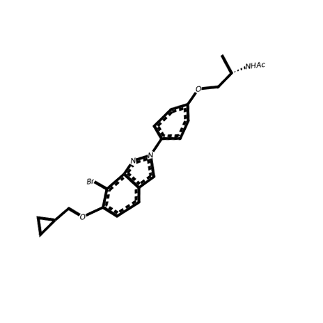 CC(=O)N[C@@H](C)COc1ccc(-n2cc3ccc(OCC4CC4)c(Br)c3n2)cc1